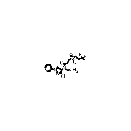 CCN(C(=O)CCS(=O)(=O)CCC(F)(F)F)c1cn(-c2cccnc2)nc1Cl